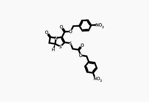 O=C(CSC1=C(C(=O)OCc2ccc([N+](=O)[O-])cc2)N2C(=O)C[C@H]2S1)OCc1ccc([N+](=O)[O-])cc1